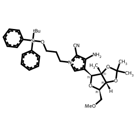 COC[C@H]1O[C@@H](c2cn(CCCO[Si](c3ccccc3)(c3ccccc3)C(C)(C)C)c(C#N)c2N)[C@]2(C)OC(C)(C)O[C@H]12